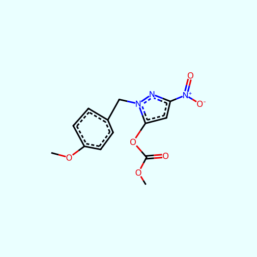 COC(=O)Oc1cc([N+](=O)[O-])nn1Cc1ccc(OC)cc1